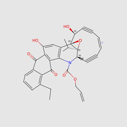 C=CCOC(=O)N1c2c(cc(O)c3c2C(=O)c2c(CC)cccc2C3=O)[C@@]23O[C@@]2(C(C)C)[C@@H]1C#C/C=C\C#C[C@@H]3O